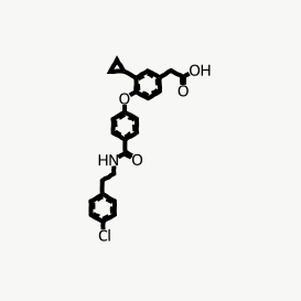 O=C(O)Cc1ccc(Oc2ccc(C(=O)NCCc3ccc(Cl)cc3)cc2)c(C2CC2)c1